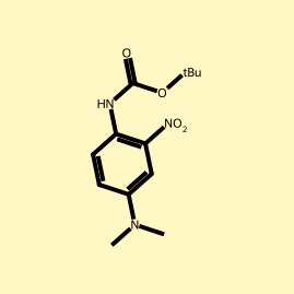 CN(C)c1ccc(NC(=O)OC(C)(C)C)c([N+](=O)[O-])c1